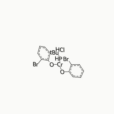 CC(C)(C)[PH][Cr]([O]c1ccccc1Br)[O]c1ccccc1Br.Cl